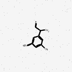 [CH2]C(CF)c1cc(C#N)cc(CCC)c1